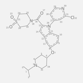 CC(C)N1CCC(Oc2ccc3c(c2)cc(C(=O)N2CCS(=O)(=O)CC2)n3-c2ccnc(Cl)c2)CC1